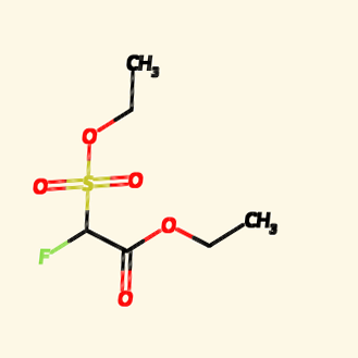 CCOC(=O)C(F)S(=O)(=O)OCC